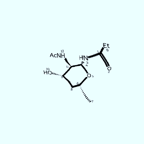 CCC(=O)N[C@@H]1O[C@H](C)C[C@H](O)[C@H]1NC(C)=O